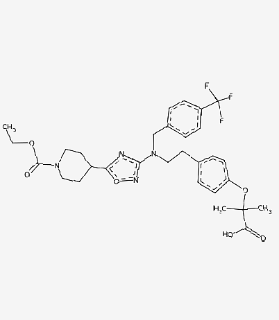 CCOC(=O)N1CCC(c2nc(N(CCc3ccc(OC(C)(C)C(=O)O)cc3)Cc3ccc(C(F)(F)F)cc3)no2)CC1